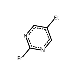 CCc1cnc(C(C)C)nc1